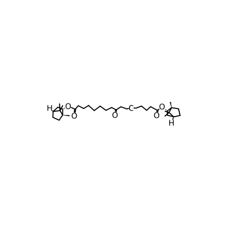 CC1(C)[C@@H]2CC[C@@]1(C)[C@@H](OC(=O)CCCCCCCC(=O)CCCCCCCC(=O)O[C@H]1C[C@H]3CC[C@]1(C)C3(C)C)C2